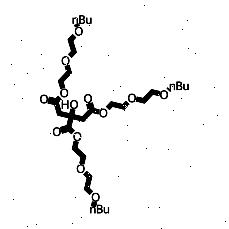 CCCCOCCOCCOC(=O)CC(O)(CC(=O)OCCOCCOCCCC)C(=O)OCCOCCOCCCC